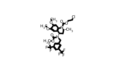 COC(=O)N(Cc1cc(C(F)(F)F)cc(C(F)(F)F)c1)[C@H]1C[C@@H](C)N(C(=O)OCCCl)c2cc(OC)c(OC)cc21